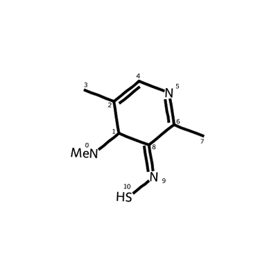 CNC1C(C)=CN=C(C)/C1=N/S